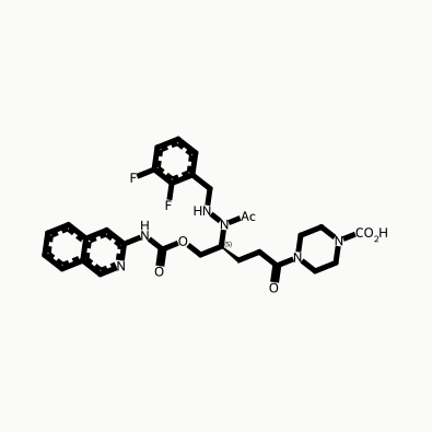 CC(=O)N(NCc1cccc(F)c1F)[C@@H](CCC(=O)N1CCN(C(=O)O)CC1)COC(=O)Nc1cc2ccccc2cn1